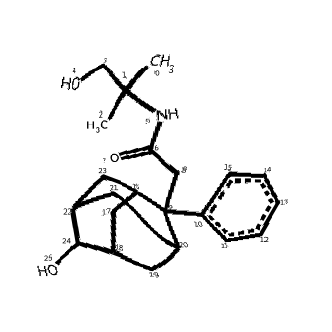 CC(C)(CO)NC(=O)CC1(c2ccccc2)C2CC3CC1CC(C2)C3O